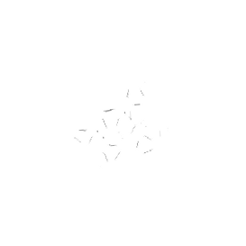 Cc1cc2c3c(c1)N(c1cccc4c1CC4)c1c(ccc4c1CC4)B3c1c(sc3c(C(C)(C)C)cccc13)N2c1ccc2c(c1)CC2